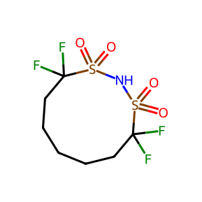 O=S1(=O)NS(=O)(=O)C(F)(F)CCCCCC1(F)F